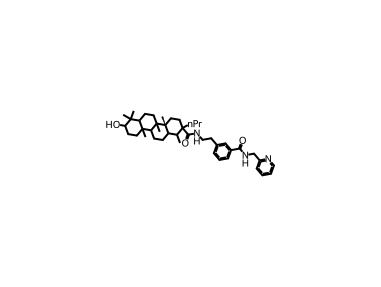 CCCC1(C(=O)NCCc2cccc(C(=O)NCc3ccccn3)c2)CC[C@]2(C)C(CCC3C4(C)CCC(O)C(C)(C)C4CCC32C)C1C